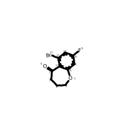 O=C1CCCOc2cc(F)cc(Br)c21